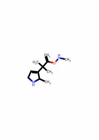 C=C(ONC)C(C)(C)C1=CCNC1C